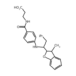 CC(C)CC(Nc1ccc(C(=O)NCCC(=O)O)cc1)C1Oc2ccccc2C1C